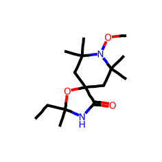 CCC1(C)NC(=O)C2(CC(C)(C)N(OC)C(C)(C)C2)O1